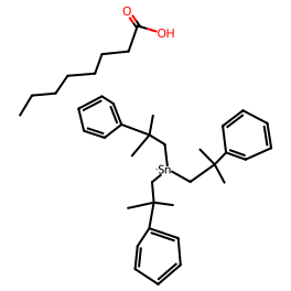 CC(C)([CH2][Sn]([CH2]C(C)(C)c1ccccc1)[CH2]C(C)(C)c1ccccc1)c1ccccc1.CCCCCCCC(=O)O